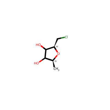 C[C@@H]1O[C@H](CCl)C(O)C1O